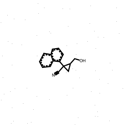 N#CC1(c2cccc3ccccc23)CC1CO